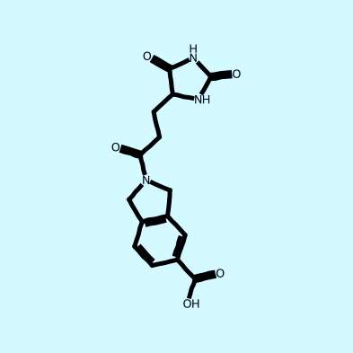 O=C1NC(=O)C(CCC(=O)N2Cc3ccc(C(=O)O)cc3C2)N1